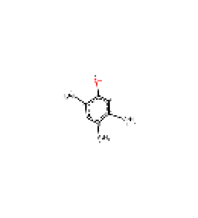 Oc1cc([AsH2])c([AsH2])cc1[AsH2]